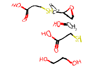 CC1CO1.CO.O=C(O)CS.O=C(O)CS.OCCO